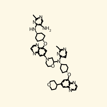 Cc1nccc(N(C2CN(c3cc(O[C@H]4CC[C@@H](Nc5nc(C)ncc5N)CC4)c4nccnc4c3)CCO2)[C@H]2CC[C@@H](Oc3cc(C4CCOCC4)cc4nccnc34)CC2)n1